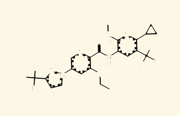 CCSc1cc(-n2ccc(C(F)(F)F)n2)cnc1C(=O)Nc1cc(C(F)(F)F)c(C2CC2)nc1NC